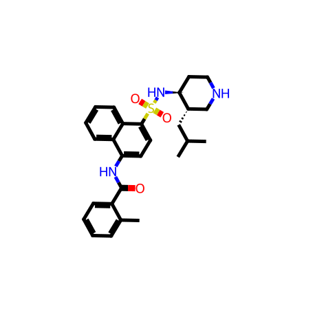 Cc1ccccc1C(=O)Nc1ccc(S(=O)(=O)N[C@H]2CCNC[C@@H]2CC(C)C)c2ccccc12